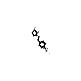 C[C@@H]1CC[C@H](CCc2ccc(OC(F)(F)F)cc2)N1